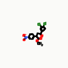 COC(=O)C(CC(=O)c1ccc(Cl)c(Cl)c1)c1ccc([N+](=O)[O-])cc1